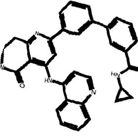 O=C(NC1CC1)c1cccc(-c2cccc(-c3cc(Nc4ccnc5ccccc45)c4c(n3)CCNC4=O)c2)c1